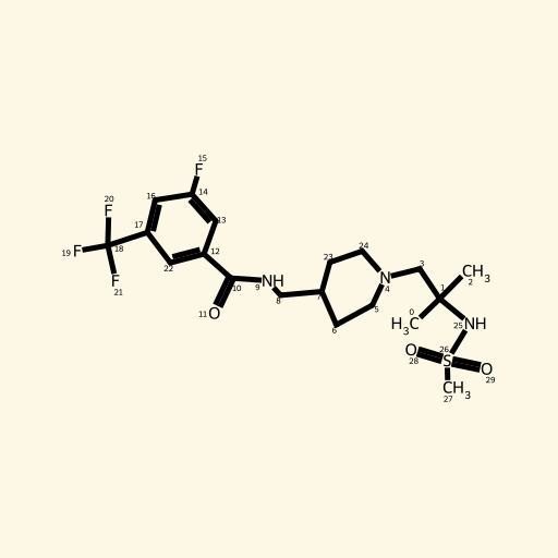 CC(C)(CN1CCC(CNC(=O)c2cc(F)cc(C(F)(F)F)c2)CC1)NS(C)(=O)=O